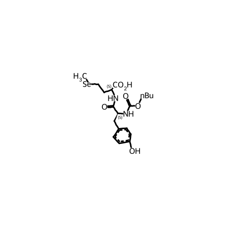 CCCCOC(=O)N[C@@H](Cc1ccc(O)cc1)C(=O)N[C@@H](CC[Se]C)C(=O)O